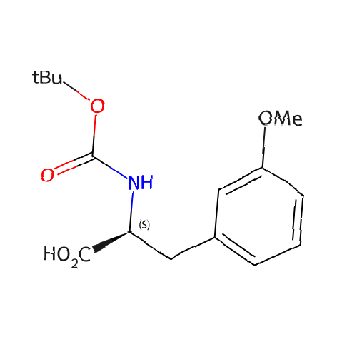 COc1cccc(C[C@H](NC(=O)OC(C)(C)C)C(=O)O)c1